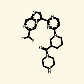 O=C(C1CCCN(c2ccnc(-c3cnc4cnc(C(F)F)cn34)n2)C1)N1CCNCC1